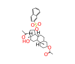 CC(=O)OC1CC[C@@]2(C)C(CC[C@H]3[C@@H]4C(OS(=O)(=O)c5ccc6ccccc6c5)C[C@H](C(C)=O)[C@@]4(C)C(O)C[C@@H]32)C1